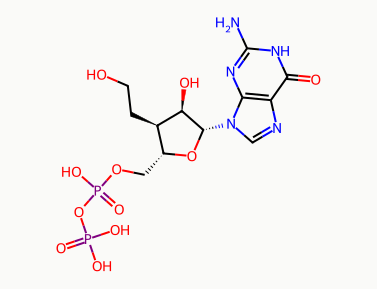 Nc1nc2c(ncn2[C@@H]2O[C@H](COP(=O)(O)OP(=O)(O)O)[C@@H](CCO)[C@H]2O)c(=O)[nH]1